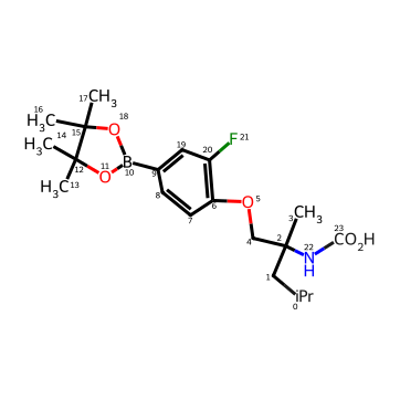 CC(C)CC(C)(COc1ccc(B2OC(C)(C)C(C)(C)O2)cc1F)NC(=O)O